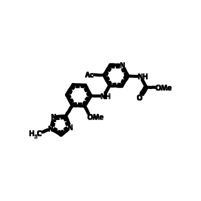 COC(=O)Nc1cc(Nc2cccc(-c3ncn(C)n3)c2OC)c(C(C)=O)cn1